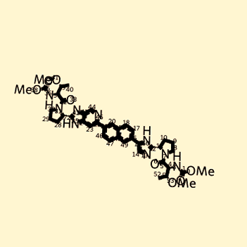 COC(=O)N[C@H](C(=O)N1CCC[C@H]1c1ncc(-c2ccc3cc(-c4cc5[nH]c([C@@H]6CCCN6C(=O)[C@@H](NC(=O)OC)[C@@H](C)OC)nc5cn4)ccc3c2)[nH]1)[C@@H](C)OC